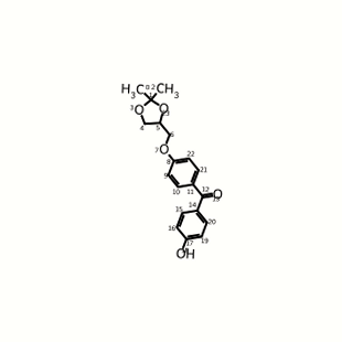 CC1(C)OCC(COc2ccc(C(=O)c3ccc(O)cc3)cc2)O1